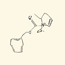 CC1CC=C[N+]1([O-])C(=O)OCc1ccccc1